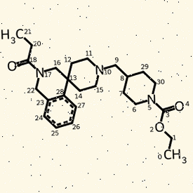 CCOC(=O)N1CCC(CN2CCC3(CC2)CN(C(=O)CC)Cc2ccccc23)CC1